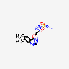 Cc1cc2ncnc(OCCCNS(N)(=O)=O)c2cc1C